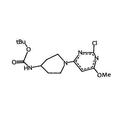 COc1cc(N2CCC(NC(=O)OC(C)(C)C)CC2)nc(Cl)n1